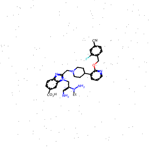 CCN(N)/C(=C\N)Cn1c(CN2CCC(c3cccnc3OCc3ccc(C#N)cc3F)CC2)nc2ccc(C(=O)O)cc21